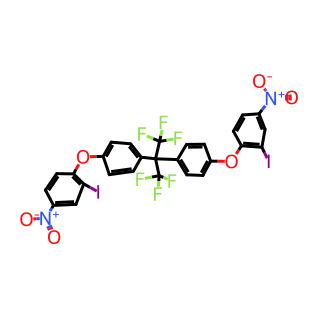 O=[N+]([O-])c1ccc(Oc2ccc(C(c3ccc(Oc4ccc([N+](=O)[O-])cc4I)cc3)(C(F)(F)F)C(F)(F)F)cc2)c(I)c1